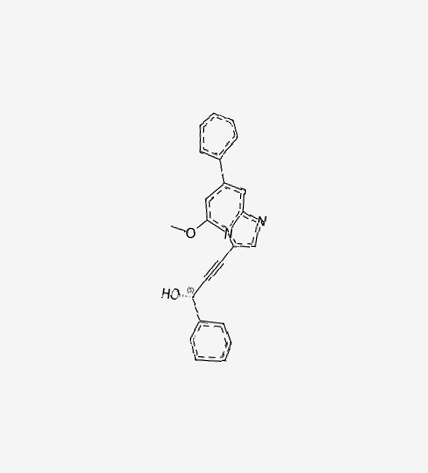 COc1cc(-c2ccccc2)cc2ncc(C#C[C@@H](O)c3ccccc3)n12